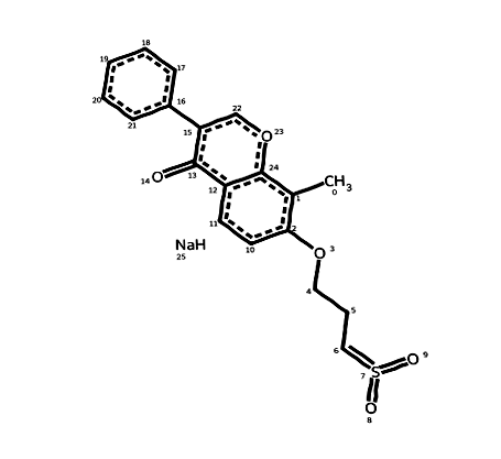 Cc1c(OCCC=S(=O)=O)ccc2c(=O)c(-c3ccccc3)coc12.[NaH]